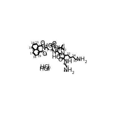 CC(C)C[C@H](N[C@H](CCN1C(=O)c2cccc3cccc(c23)C1=O)P(=O)(O)O)C(=O)NC(CCCCN)C(=O)NCCN.Cl.Cl